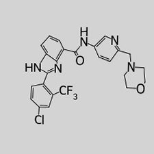 O=C(Nc1ccc(CN2CCOCC2)nc1)c1cccc2[nH]c(-c3ccc(Cl)cc3C(F)(F)F)nc12